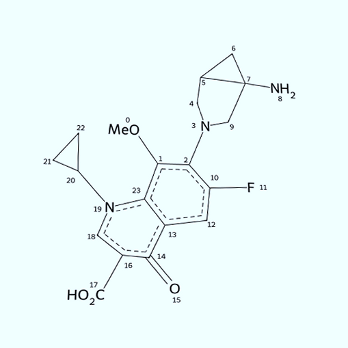 COc1c(N2CC3CC3(N)C2)c(F)cc2c(=O)c(C(=O)O)cn(C3CC3)c12